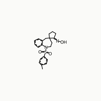 Cc1ccc(S(=O)(=O)N2CCC3(CCC/C3=N\O)Cc3ccccc32)cc1